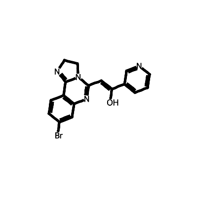 O/C(=C\C1=Nc2cc(Br)ccc2C2=NCCN12)c1cccnc1